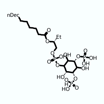 CCCCCCCCCCCCCCCC(=O)O[C@H](CC)COP(=O)(O)OC1C(O)[C@H](OP(=O)(O)O)C(O)[C@H](OP(=O)(O)O)[C@@H]1O